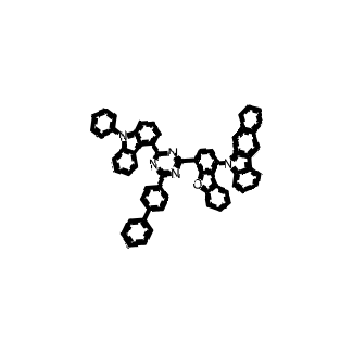 c1ccc(-c2ccc(-c3nc(-c4ccc(-n5c6ccccc6c6cc7ccccc7cc65)c5c4oc4ccccc45)nc(-c4cccc5c4c4ccccc4n5-c4ccccc4)n3)cc2)cc1